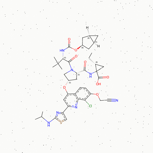 CC[C@@H]1CC1(NC(=O)[C@@H]1C[C@H](Oc2cc(-c3csc(NC(C)C)n3)nc3c(Cl)c(OCC#N)ccc23)CN1C(=O)[C@@H](NC(=O)O[C@@H]1C[C@@H]2C[C@@H]2C1)C(C)(C)C)C(=O)O